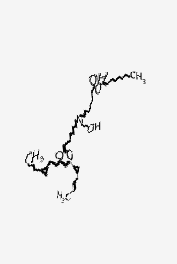 CCCCCCCCCOC(O)CCCCCCCN(CCO)CCCCCCCC(=O)OC(CCC1CC1CCCC)CC[C@@H]1C[C@@H]1CCCC